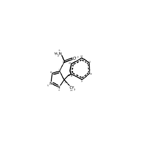 NC(=O)C1=CN=NC1(c1ccccc1)C(F)(F)F